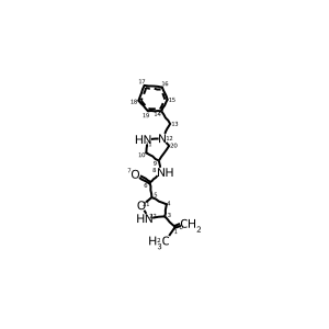 C=C(C)C1CC(C(=O)NC2CNN(Cc3ccccc3)C2)ON1